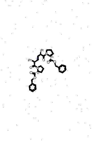 CC(C)C(/C=C/C(C(=O)N1CCC[C@@H]1C(=O)OCc1ccccc1)C(C)C)C(=O)N1CCC[C@@H]1C(=O)OCc1ccccc1